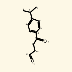 CC(C)c1ccc(C(=O)CCC=O)cc1